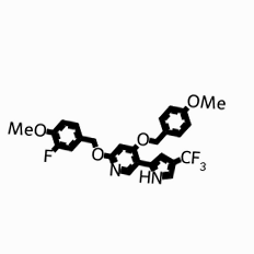 COc1ccc(COc2cc(OCc3ccc(OC)c(F)c3)ncc2-c2cc(C(F)(F)F)c[nH]2)cc1